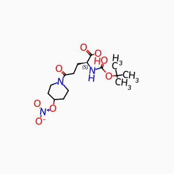 CC(C)(C)OC(=O)N[C@@H](CCC(=O)N1CCC(O[N+](=O)[O-])CC1)C(=O)O